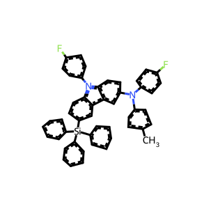 Cc1ccc(N(c2ccc(F)cc2)c2ccc3c(c2)c2cc([Si](c4ccccc4)(c4ccccc4)c4ccccc4)ccc2n3-c2ccc(F)cc2)cc1